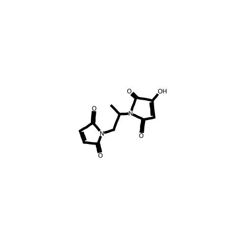 CC(CN1C(=O)C=CC1=O)N1C(=O)C=C(O)C1=O